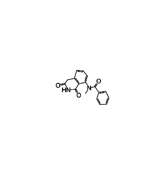 CN(C(=O)c1ccccc1)c1cccc2c1C(=O)NC(=O)C2